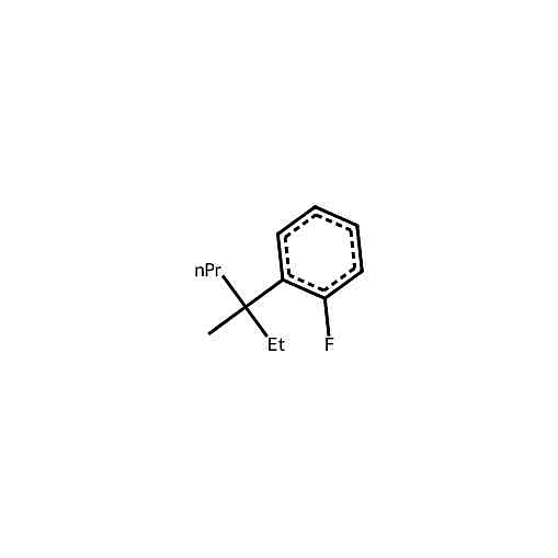 CCCC(C)(CC)c1ccccc1F